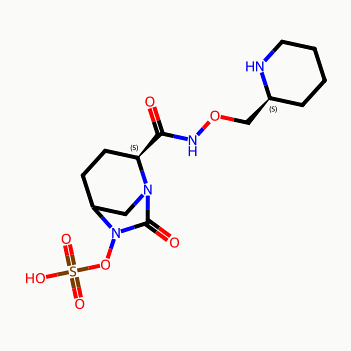 O=C(NOC[C@@H]1CCCCN1)[C@@H]1CCC2CN1C(=O)N2OS(=O)(=O)O